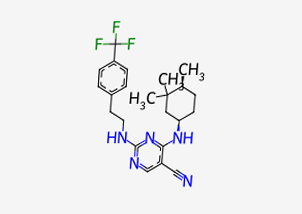 C[C@H]1CC[C@@H](Nc2nc(NCCc3ccc(C(F)(F)F)cc3)ncc2C#N)CC1(C)C